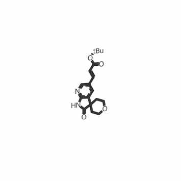 CC(C)(C)OC(=O)/C=C/c1cnc2c(c1)C1(CCOCC1)C(=O)N2